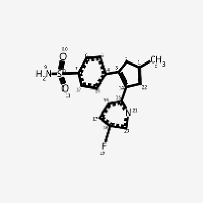 CC1CC(c2ccc(S(N)(=O)=O)cc2)=C(c2ccc(F)cn2)C1